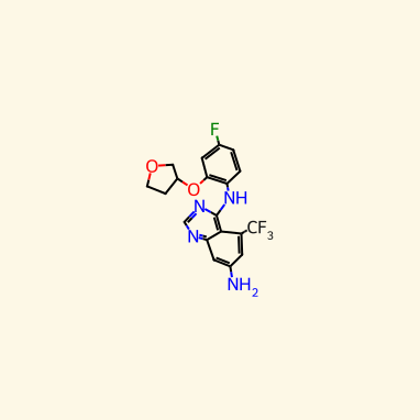 Nc1cc(C(F)(F)F)c2c(Nc3ccc(F)cc3OC3CCOC3)ncnc2c1